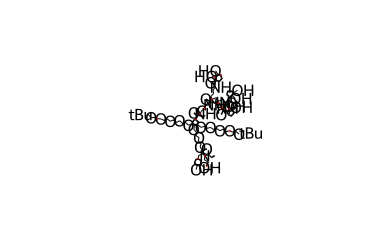 C=CCN(CC=C)C(Cc1ccc(O)c(O)c1)C(=O)OCCOCCOc1c(OCCOCCOCCOCCOC(C)(C)C)cc(C(=O)NCCCNC(=O)C(CCCNC(=O)c2cccc(O)c2O)(CCCNC(=O)c2cccc(O)c2O)CCCNC(=O)c2cccc(O)c2O)cc1OCCOCCOCCOCCOC(C)(C)C